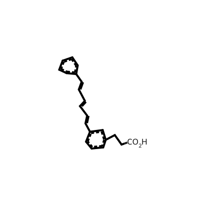 O=C(O)CCc1cccc(C=CC=CC=Cc2ccccc2)c1